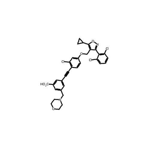 O=C(O)c1cc(C#Cc2ccc(OCc3c(-c4c(Cl)cccc4Cl)noc3C3CC3)cc2Cl)cc(CN2CCOCC2)c1